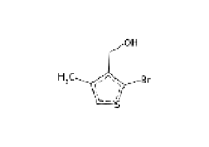 Cc1csc(Br)c1CO